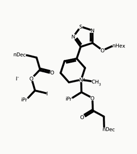 CCCCCCCCCCCC(=O)OC(C(C)C)[N+]1(C)CCC=C(c2nsnc2OCCCCCC)C1.CCCCCCCCCCCC(=O)OC(I)C(C)C.[I-]